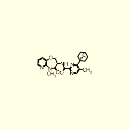 Cc1cnc(C(=O)NC2COc3cccnc3N(C)C2=O)nc1C12CCC(CC1)CC2